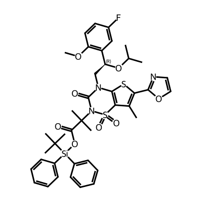 COc1ccc(F)cc1[C@H](CN1C(=O)N(C(C)(C)C(=O)O[Si](c2ccccc2)(c2ccccc2)C(C)(C)C)S(=O)(=O)c2c1sc(-c1ncco1)c2C)OC(C)C